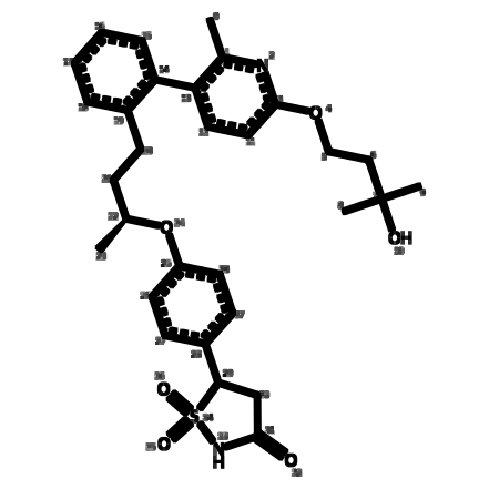 Cc1nc(OCCC(C)(C)O)ccc1-c1ccccc1CC[C@H](C)Oc1ccc(C2CC(=O)NS2(=O)=O)cc1